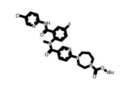 CN(C(=O)c1ccc(N2CCCN(C(=O)OC(C)(C)C)CC2)nc1)c1ccc(F)cc1C(=O)Nc1ccc(Cl)cn1